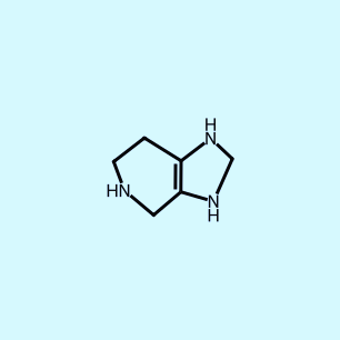 C1CC2=C(CN1)NCN2